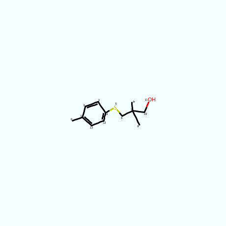 Cc1ccc(SCC(C)(C)CO)cc1